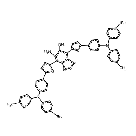 Cc1ccc(N(c2ccc(-c3ccc(-c4c(N)c(N)c(-c5ccc(-c6ccc(N(c7ccc(C)cc7)c7ccc(C(C)(C)C)cc7)cc6)s5)c5nsnc45)s3)cc2)c2ccc(C(C)(C)C)cc2)cc1